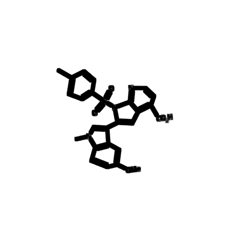 COc1ccc2c(c1)c(-c1cc3c(C(=O)O)ccnc3n1S(=O)(=O)c1ccc(C)cc1)cn2C